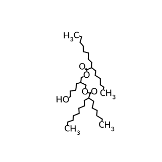 CCCCCCCCC(CCCCCC)C(=O)OCC(CCCCO)COC(=O)C(CCCCCC)CCCCCCCC